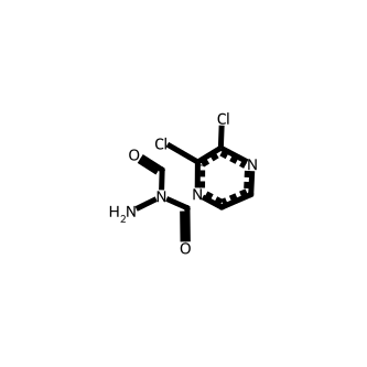 Clc1nccnc1Cl.NN(C=O)C=O